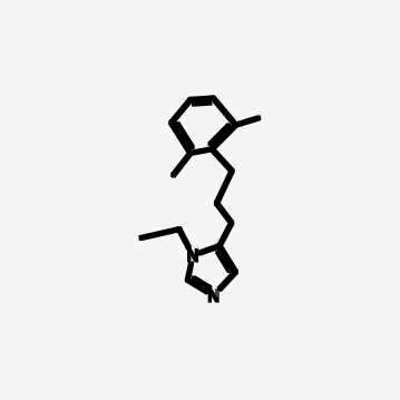 CCn1cncc1CCCc1c(C)cccc1C